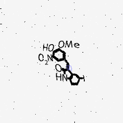 COc1cc(/C=C2\C(=O)Nc3ccc(I)cc32)cc([N+](=O)[O-])c1O